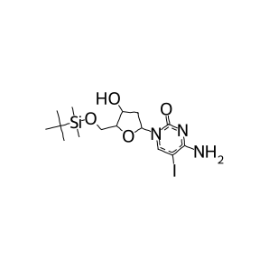 CC(C)(C)[Si](C)(C)OCC1OC(n2cc(I)c(N)nc2=O)CC1O